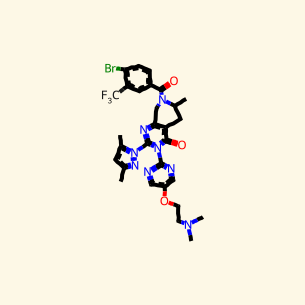 Cc1cc(C)n(-c2nc3c(c(=O)n2-c2ncc(OCCN(C)C)cn2)CC(C)N(C(=O)c2ccc(Br)c(C(F)(F)F)c2)C3)n1